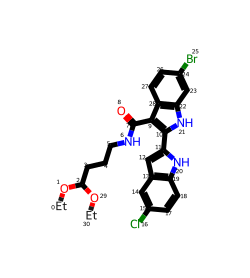 CCOC(CCCNC(=O)c1c(-c2cc3cc(Cl)ccc3[nH]2)[nH]c2cc(Br)ccc12)OCC